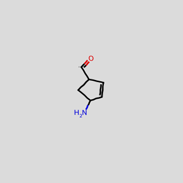 NC1C=CC([C]=O)C1